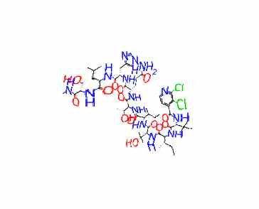 CC[C@H](C)[C@H](NC(=O)[C@@H](NC(=O)c1ccnc(Cl)c1Cl)C(C)(C)C)C(=O)N[C@H](C(=O)N[C@H](C(=O)N[C@H](C(=O)N[C@@H](CCC(N)=O)C(=O)N[C@@H](Cc1c[nH]cn1)C(=O)N[C@H](CC(C)C)C(=O)N[C@@H](CO)C(=O)NC)[C@@H](C)O)[C@@H](C)CC)C(C)(C)O